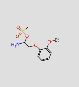 CCOc1ccccc1OCC(N)OS(C)(=O)=O